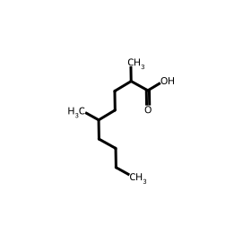 CCCCC(C)CCC(C)C(=O)O